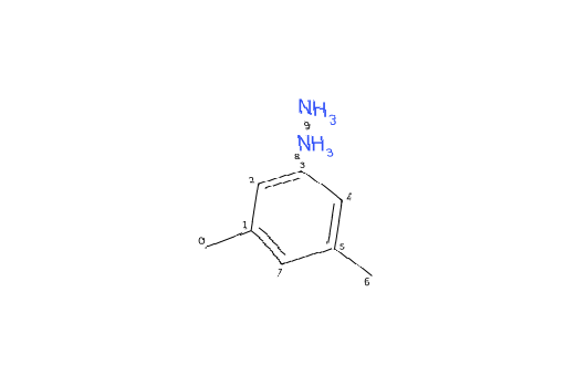 Cc1cccc(C)c1.N.N